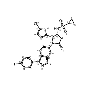 O=C1C[C@@H](NS(=O)(=O)C2CC2)[C@H](c2ccc(Cl)s2)N1c1ccc2c(cnn2-c2ccc(F)cc2)c1